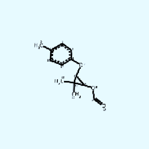 Cc1ccc(OC2C(OC=O)C2(C)C)cc1